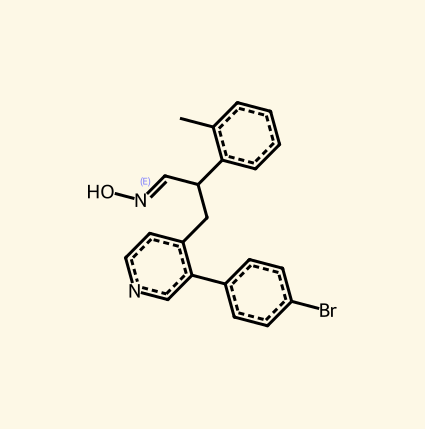 Cc1ccccc1C(/C=N/O)Cc1ccncc1-c1ccc(Br)cc1